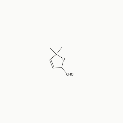 CC1(C)C=CC(C=O)O1